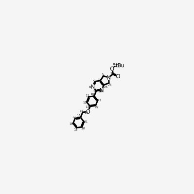 CC(C)(C)OC(=O)N1Cc2cnc(-c3ccc(OCc4ccccc4)cc3)nc2C1